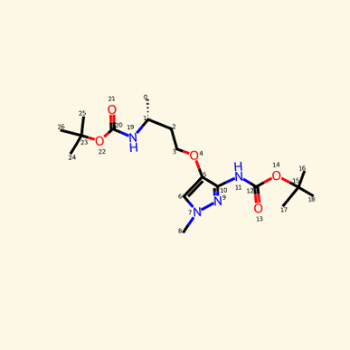 C[C@H](CCOc1cn(C)nc1NC(=O)OC(C)(C)C)NC(=O)OC(C)(C)C